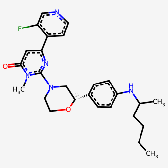 CCCCC(C)Nc1ccc([C@H]2CN(c3nc(-c4ccncc4F)cc(=O)n3C)CCO2)cc1